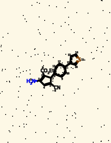 CCOC(=O)C1=C(N)C=C(C#N)C1c1ccc(-c2ccsc2)cc1